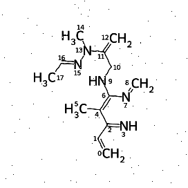 C=CC(=N)/C(C)=C(\N=C)NCC(=C)N(C)/N=C/C